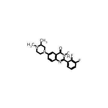 CC1CN(c2ccc3nc(-c4cccc(F)c4F)n(C)c(=O)c3c2)CCN1C